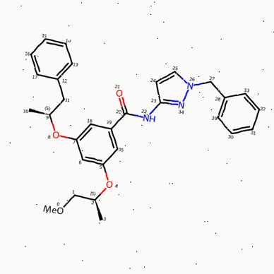 COC[C@H](C)Oc1cc(O[C@@H](C)Cc2ccccc2)cc(C(=O)Nc2ccn(Cc3ccccc3)n2)c1